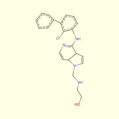 OCCNCN1C=CC2C(Nc3cccc(-c4ccccc4)c3Cl)=NC=CC21